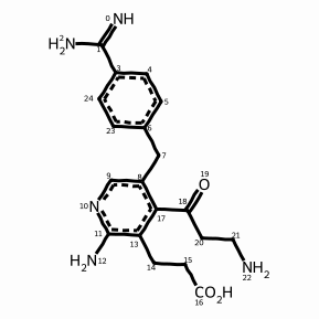 N=C(N)c1ccc(Cc2cnc(N)c(CCC(=O)O)c2C(=O)CCN)cc1